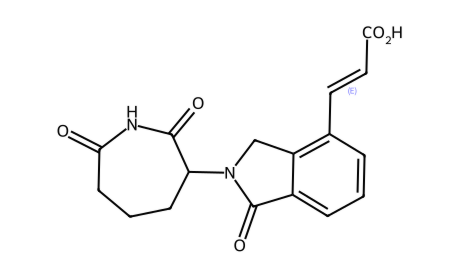 O=C(O)/C=C/c1cccc2c1CN(C1CCCC(=O)NC1=O)C2=O